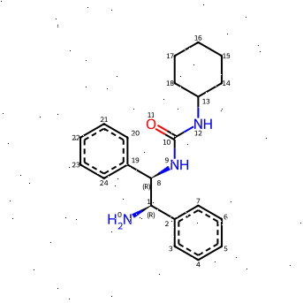 N[C@H](c1ccccc1)[C@H](NC(=O)NC1CCCCC1)c1ccccc1